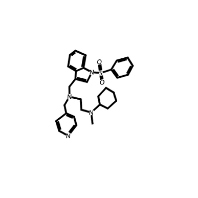 CN(CCN(Cc1ccncc1)Cc1cn(S(=O)(=O)c2ccccc2)c2ccccc12)C1CCCCC1